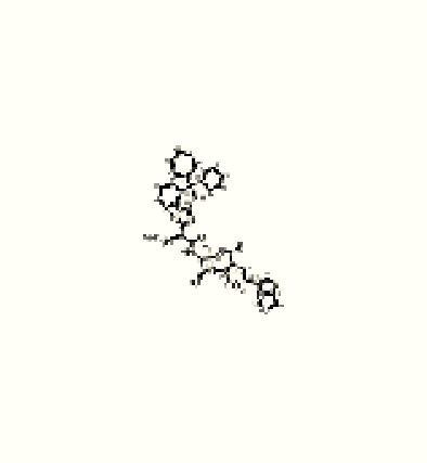 CON=C(C(=O)N[C@@H]1C(=O)N2C(C(=O)O)=C(C=Cc3csc4cncn34)C(F)S[C@H]12)c1nsc(NC(c2ccccc2)(c2ccccc2)c2ccccc2)n1